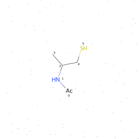 CC(=O)NC(C)CS